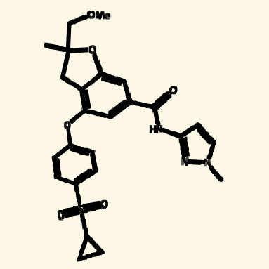 COCC1(C)Cc2c(Oc3ccc(S(=O)(=O)C4CC4)cc3)cc(C(=O)Nc3ccn(C)n3)cc2O1